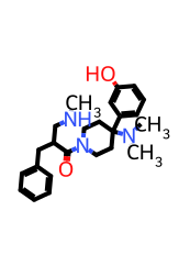 CNCC(Cc1ccccc1)C(=O)N1CCC(c2cccc(O)c2)(N(C)C)CC1